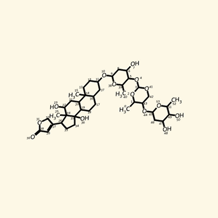 CC1OC(OC2C(O)CC(OC3CCC4(C)C(CCC5C4CC(O)C4(C)C(C6=CC(=O)OC6)CCC54O)C3)OC2C)OCC1OC1CC(O)C(O)C(C)O1